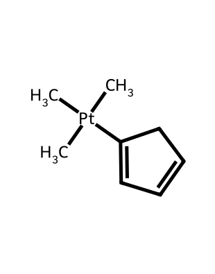 [CH3][Pt]([CH3])([CH3])[C]1=CC=CC1